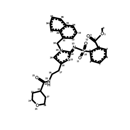 COC(=O)c1ccccc1S(=O)(=O)N=c1sc(CCNC(=O)C2CCOCC2)cn1Cc1cccc2ccccc12